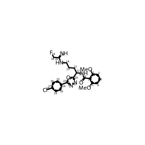 COc1cccc(OC)c1C(=O)NC(CCCNC(=N)CF)c1nnc(-c2ccc(Cl)cc2)o1